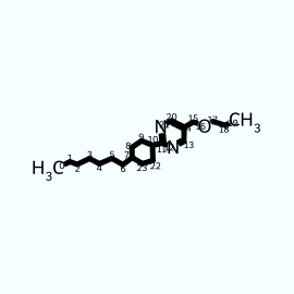 CCCCCCCC1CCC(c2ncc(COCCC)cn2)CC1